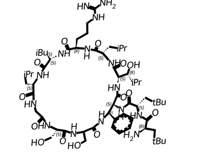 CC[C@H](C)[C@@H]1NC(=O)[C@@H](CCCNC(=N)N)NC(=O)[C@H](CC(C)C)NC(=O)[C@H]([C@H](O)C(C)C)NC(=O)[C@@H](NC(=O)[C@H](CC(C)(C)C)NC(=O)[C@H](N)CC(C)(C)C)[C@@H](c2ccccc2)NC(=O)C(CO)NC(=O)[C@H](CO)NC(=O)CNC(=O)[C@H](CC(C)C)NC1=O